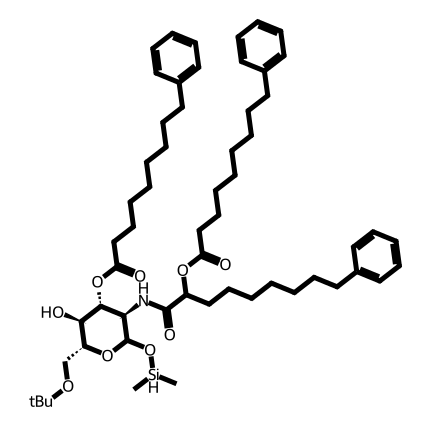 C[SiH](C)OC1O[C@H](COC(C)(C)C)[C@@H](O)[C@H](OC(=O)CCCCCCCCc2ccccc2)[C@H]1NC(=O)C(CCCCCCCc1ccccc1)OC(=O)CCCCCCCCc1ccccc1